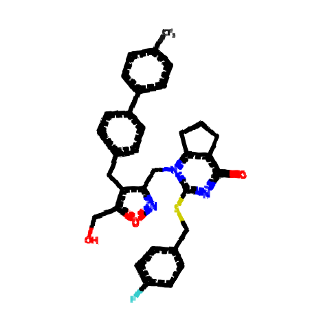 O=c1nc(SCc2ccc(F)cc2)n(Cc2noc(CO)c2Cc2ccc(-c3ccc(C(F)(F)F)cc3)cc2)c2c1CCC2